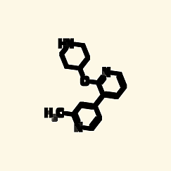 Cc1cc(-c2cccnc2OC2CCNCC2)ccn1